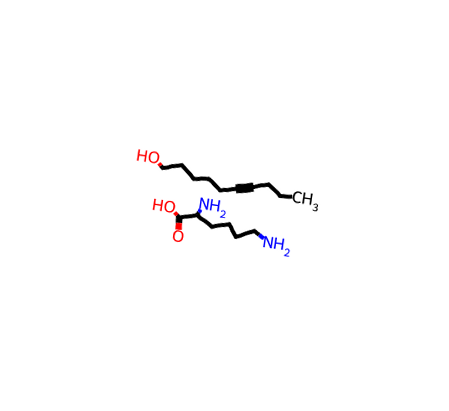 CCCC#CCCCCCO.NCCCCC(N)C(=O)O